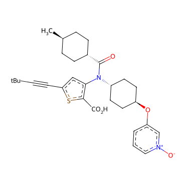 CC(C)(C)C#Cc1cc(N(C(=O)[C@H]2CC[C@H](C)CC2)[C@H]2CC[C@H](Oc3ccc[n+]([O-])c3)CC2)c(C(=O)O)s1